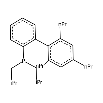 CCCc1cc(CCC)c(-c2ccccc2P(CC(C)C)CC(C)C)c(CCC)c1